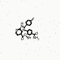 CC(C)OC(=O)c1ccnc2c1N(c1ccc(C(N)=O)cc1)C(c1ccc(F)cc1)N2